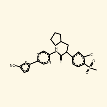 CS(=O)(=O)c1ccc(C(CC2CCCC2)C(=O)Nc2cnc(-c3ccc(C#N)s3)cn2)cc1Cl